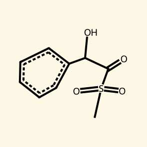 CS(=O)(=O)C(=O)C(O)c1ccccc1